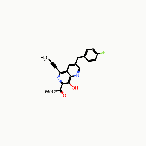 CC#Cc1nc(C(=O)OC)c(O)c2ncc(Cc3ccc(F)cc3)cc12